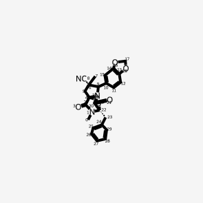 CN1C(=O)C23C[C@](C)(C#N)C(c4ccc5c(c4)OCO5)N2C(=O)[C@@]1(Cc1ccccc1)SS3